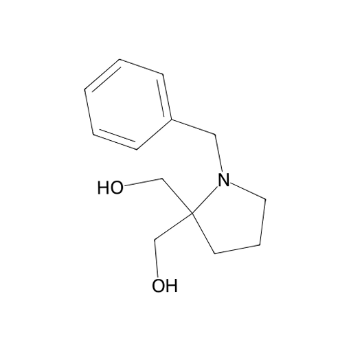 OCC1(CO)CCCN1Cc1ccccc1